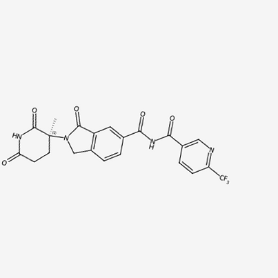 C[C@]1(N2Cc3ccc(C(=O)NC(=O)c4ccc(C(F)(F)F)nc4)cc3C2=O)CCC(=O)NC1=O